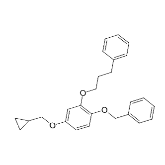 c1ccc(CCCOc2cc(OCC3CC3)ccc2OCc2ccccc2)cc1